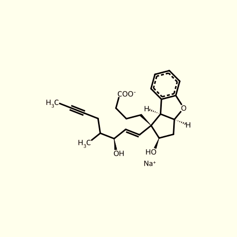 CC#CCC(C)[C@H](O)/C=C/[C@@]1(CCCC(=O)[O-])[C@H](O)C[C@@H]2Oc3ccccc3[C@@H]21.[Na+]